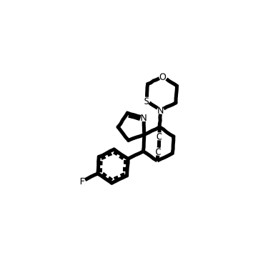 Fc1ccc(C2C3CCC(N4CCOCS4)(CC3)C23CCC=N3)cc1